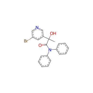 CC(O)(C(=O)N(c1ccccc1)c1ccccc1)c1cncc(Br)c1